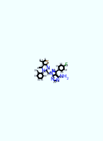 C=C1c2c(C)csc2N=C(Cn2nc(-c3ccc(F)cc3)c3c(N)ncnc32)N1c1ccccc1C